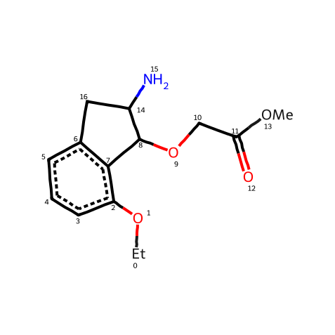 CCOc1cccc2c1C(OCC(=O)OC)C(N)C2